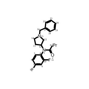 CC(C)C(=O)N(c1ccc(F)cc1F)C1CCN(Cc2ccccc2)C1